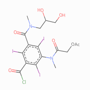 CC(=O)OCC(=O)N(C)c1c(I)c(C(=O)Cl)c(I)c(C(=O)N(C)CC(O)CO)c1I